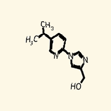 CC(C)c1ccc(-n2cnc(CO)c2)nc1